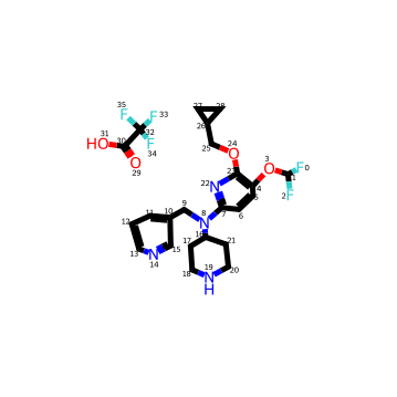 FC(F)Oc1ccc(N(Cc2cccnc2)C2CCNCC2)nc1OCC1CC1.O=C(O)C(F)(F)F